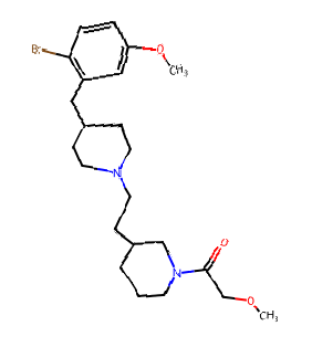 COCC(=O)N1CCCC(CCN2CCC(Cc3cc(OC)ccc3Br)CC2)C1